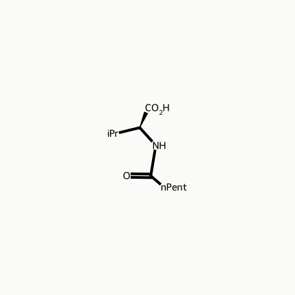 CCCCCC(=O)N[C@H](C(=O)O)C(C)C